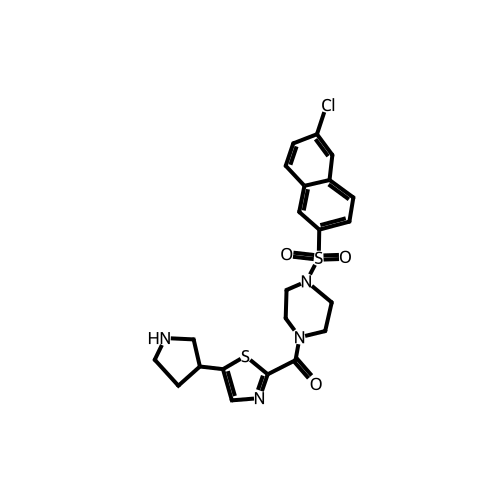 O=C(c1ncc(C2CCNC2)s1)N1CCN(S(=O)(=O)c2ccc3cc(Cl)ccc3c2)CC1